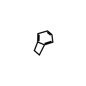 [CH]1Cc2ccccc21